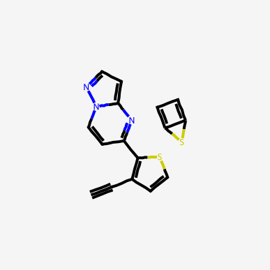 C#Cc1ccsc1-c1ccn2nccc2n1.c1cc2sc1-2